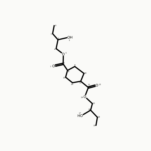 CCC(O)COC(=O)C1CCC(C(=O)OCC(O)CC)CC1